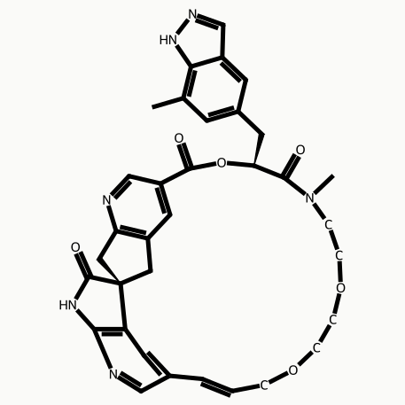 Cc1cc(C[C@@H]2OC(=O)c3cnc4c(c3)C[C@@]3(C4)C(=O)Nc4ncc(cc43)/C=C/COCCOCCN(C)C2=O)cc2cn[nH]c12